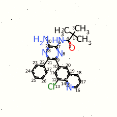 CC(C)(C)C(=O)Nc1nc(-c2cc(Cl)c3ncccc3c2)c(-c2ccccc2)nc1N